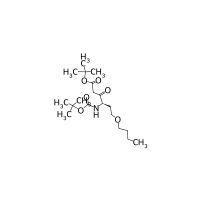 CCCCOCC[C@@H](NC(=O)OC(C)(C)C)C(=O)CC(=O)OC(C)(C)C